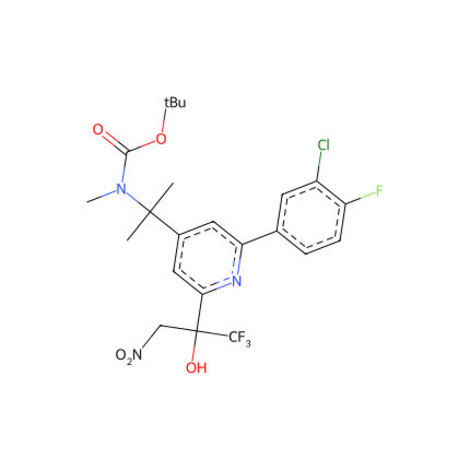 CN(C(=O)OC(C)(C)C)C(C)(C)c1cc(-c2ccc(F)c(Cl)c2)nc(C(O)(C[N+](=O)[O-])C(F)(F)F)c1